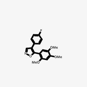 COc1cc(OC)c(-c2oncc2-c2ccc(F)cc2)cc1OC